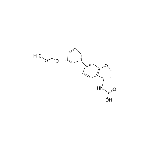 COCOc1cccc(-c2ccc3c(c2)OCCC3NC(=O)O)c1